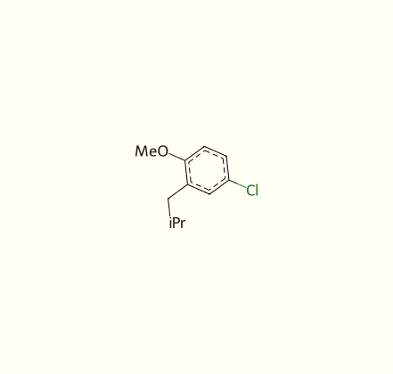 COc1ccc(Cl)cc1CC(C)C